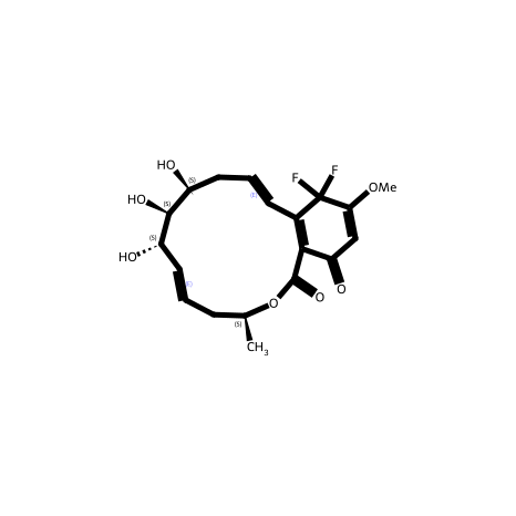 COC1=CC(=O)C2=C(/C=C/C[C@H](O)[C@H](O)[C@@H](O)/C=C/C[C@H](C)OC2=O)C1(F)F